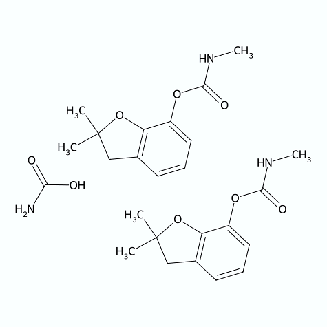 CNC(=O)Oc1cccc2c1OC(C)(C)C2.CNC(=O)Oc1cccc2c1OC(C)(C)C2.NC(=O)O